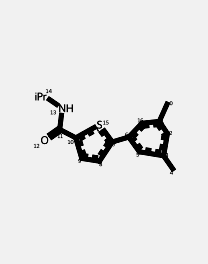 Cc1cc(C)cc(-c2ccc(C(=O)NC(C)C)s2)c1